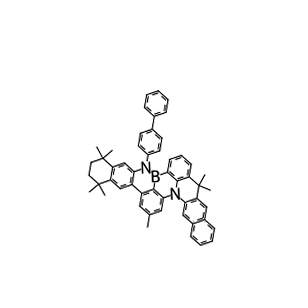 Cc1cc2c3c(c1)N1c4cc5ccccc5cc4C(C)(C)c4cccc(c41)B3N(c1ccc(-c3ccccc3)cc1)c1cc3c(cc1-2)C(C)(C)CCC3(C)C